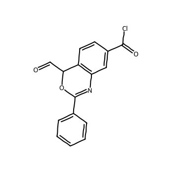 O=CC1OC(c2ccccc2)=Nc2cc(C(=O)Cl)ccc21